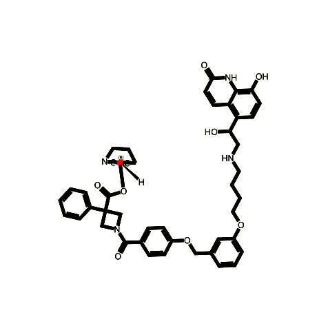 O=C(c1ccc(OCc2cccc(OCCCCNCC(O)c3ccc(O)c4[nH]c(=O)ccc34)c2)cc1)N1CC(C(=O)O[C@H]2CN3CCC2CC3)(c2ccccc2)C1